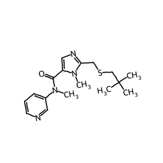 CN(C(=O)c1cnc(CSCC(C)(C)C)n1C)c1cccnc1